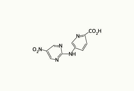 O=C(O)c1ccc(Nc2ncc([N+](=O)[O-])cn2)cn1